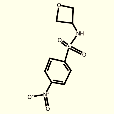 O=[N+]([O-])c1ccc(S(=O)(=O)NC2COC2)cc1